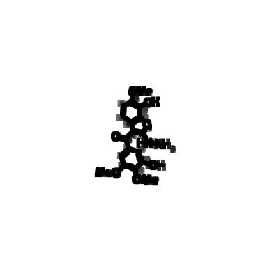 COc1cc(C(=O)c2c(NN)oc3c(O)c(OC)ccc23)cc(O)c1OC